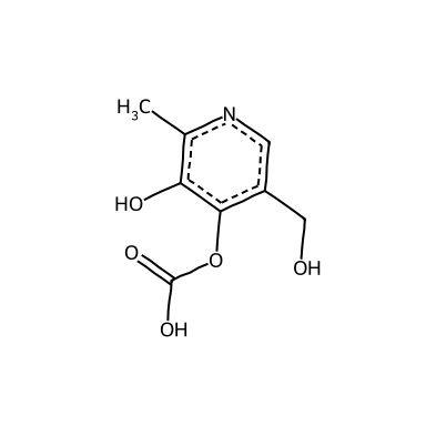 Cc1ncc(CO)c(OC(=O)O)c1O